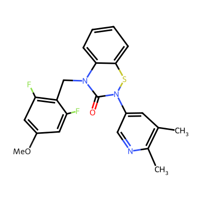 COc1cc(F)c(CN2C(=O)N(c3cnc(C)c(C)c3)Sc3ccccc32)c(F)c1